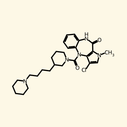 Cn1cc(Cl)c2c1C(=O)Nc1ccccc1N2C(=O)N1CCCC(CCCCN2CCCCC2)C1